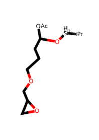 CC(=O)OC(CCCOCC1CO1)O[SiH2]C(C)C